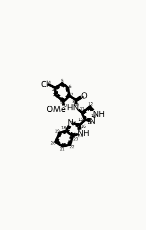 COc1cc(Cl)ccc1C(=O)Nc1c[nH]nc1-c1nc2ccccc2[nH]1